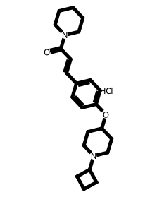 Cl.O=C(C=Cc1ccc(OC2CCN(C3CCC3)CC2)cc1)N1CCCCC1